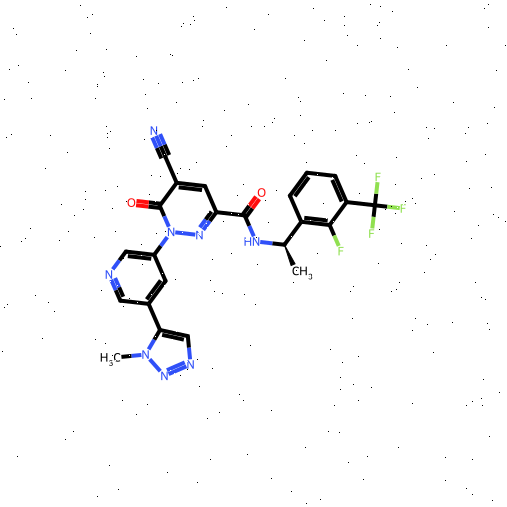 C[C@@H](NC(=O)c1cc(C#N)c(=O)n(-c2cncc(-c3cnnn3C)c2)n1)c1cccc(C(F)(F)F)c1F